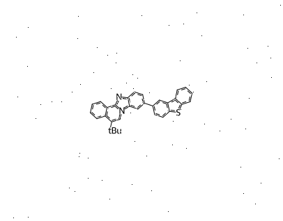 CC(C)(C)c1cn2c3cc(-c4ccc5sc6ccccc6c5c4)ccc3nc2c2ccccc12